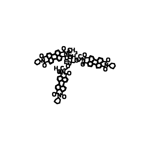 CCC(COCC(C)N1C(=O)c2ccc3c4ccc5c6c(ccc(c7ccc(c2c37)C1=O)c64)C(=O)N(C1CCCCC1)C5=O)(COCC(C)N1C(=O)c2ccc3c4ccc5c6c(ccc(c7ccc(c2c37)C1=O)c64)C(=O)N(C1CCCCC1)C5=O)COCC(C)N1C(=O)c2ccc3c4ccc5c6c(ccc(c7ccc(c2c37)C1=O)c64)C(=O)N(C1CCCCC1)C5=O